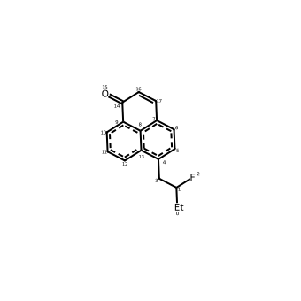 CCC(F)Cc1ccc2c3c(cccc13)C(=O)C=C2